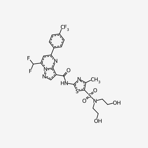 Cc1nc(NC(=O)c2cnn3c(C(F)F)cc(-c4ccc(C(F)(F)F)cc4)nc23)sc1S(=O)(=O)N(CCO)CCO